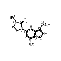 CCc1cc(N2CCN(C(C)C)C2=O)nc2c(C(=O)O)ncn12